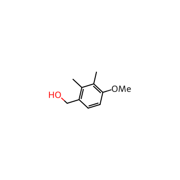 COc1ccc(CO)c(C)c1C